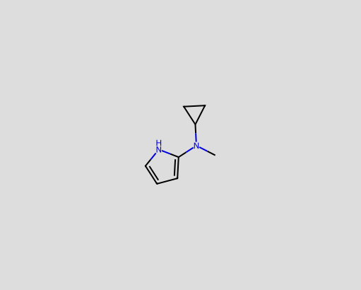 CN(c1ccc[nH]1)C1CC1